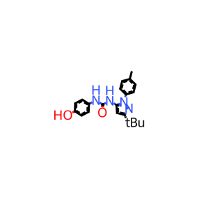 Cc1ccc(-n2nc(C(C)(C)C)cc2NC(=O)Nc2ccc(O)cc2)cc1